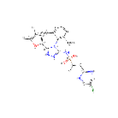 COc1cccc(OC)c1-n1c(NS(=O)(=O)C(C)Cc2ncc(F)cn2)nnc1-c1cc(C)c(C)o1